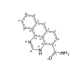 NC(=O)c1ccc2cc3ccccc3c3c2c1NC=N3